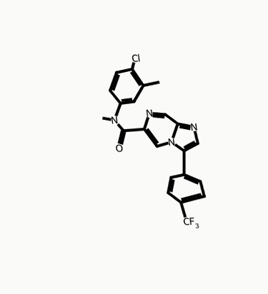 Cc1cc(N(C)C(=O)c2cn3c(-c4ccc(C(F)(F)F)cc4)cnc3cn2)ccc1Cl